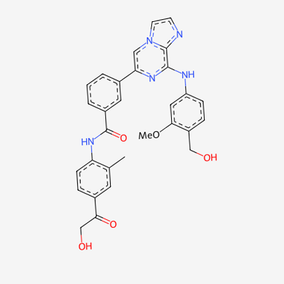 COc1cc(Nc2nc(-c3cccc(C(=O)Nc4ccc(C(=O)CO)cc4C)c3)cn3ccnc23)ccc1CO